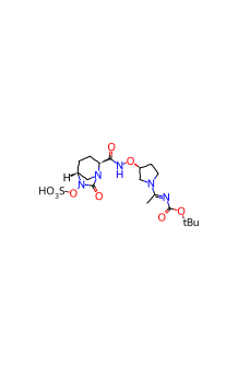 C/C(=N\C(=O)OC(C)(C)C)N1CC[C@H](ONC(=O)[C@@H]2CC[C@@H]3CN2C(=O)N3OS(=O)(=O)O)C1